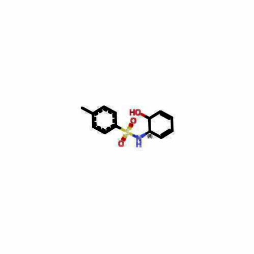 Cc1ccc(S(=O)(=O)N[C@@H]2C=CC=CC2O)cc1